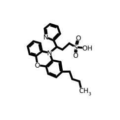 CCCCc1ccc2c(c1)N(C(CCS(=O)(=O)O)c1ccccn1)c1ccccc1O2